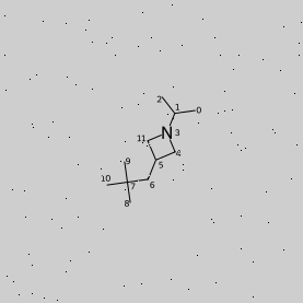 CC(C)N1CC(CC(C)(C)C)C1